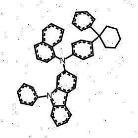 c1ccc(-n2c3ccccc3c3ccc(N(c4ccc(C5(c6ccccc6)CCCCC5)cc4)c4cccc5ccccc45)cc32)cc1